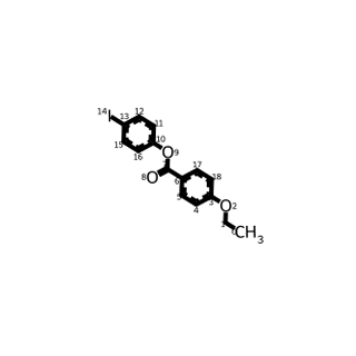 CCOc1ccc(C(=O)Oc2ccc(I)cc2)cc1